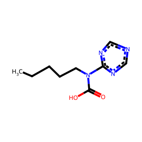 CCCCCN(C(=O)O)c1ncncn1